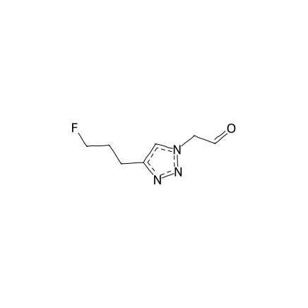 O=CCn1cc(CCCF)nn1